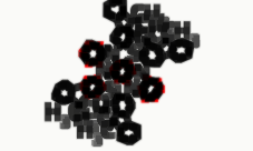 CC1(C)c2ccccc2-c2cc3c4c(c21)Oc1c2c(cc5c1[Si]4(c1ccccc1)c1c(c4c6c(c1N5c1ccccc1)N(c1ccccc1)c1cc5c(c7c1[Si]6(c1ccccc1)c1c(cc6c(c1O7)C(C)(C)c1ccccc1-6)N4c1ccccc1)C(C)(C)c1ccccc1-5)N3c1ccccc1)-c1ccccc1C2(C)C